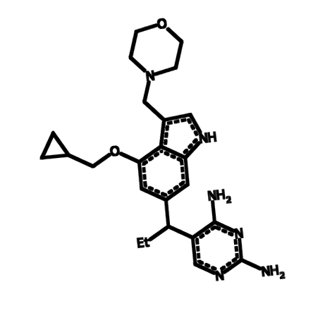 CCC(c1cc(OCC2CC2)c2c(CN3CCOCC3)c[nH]c2c1)c1cnc(N)nc1N